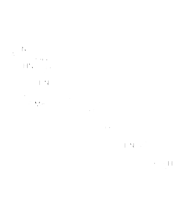 COC(=O)CCC(NC(=O)C1CCCN1C(C)=O)C(=O)NCCCOCCOCCOCCCNC(=O)CCC(=O)O